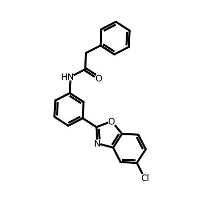 O=C(Cc1ccccc1)Nc1cccc(-c2nc3cc(Cl)ccc3o2)c1